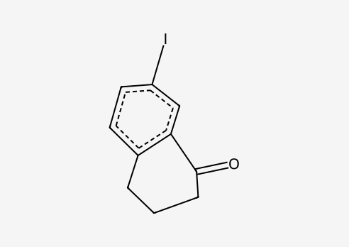 O=C1CCCc2ccc(I)cc21